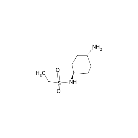 CCS(=O)(=O)N[C@H]1CC[C@H](N)CC1